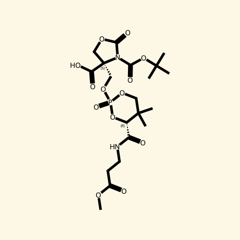 COC(=O)CCNC(=O)[C@@H]1OP(=O)(OC[C@]2(C(=O)O)COC(=O)N2C(=O)OC(C)(C)C)OCC1(C)C